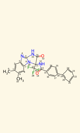 Cc1cc2nc3n(c2cc1C)C(NC(=O)c1ccc(-c2ccccc2)cc1)(C(F)(F)F)C(=O)N3